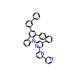 c1ccc(-c2cccc(-c3cc(-c4ccccc4)c4c(c3)c3ccccc3n4-c3cc(-c4ccccc4)cc(-c4cccc(-c5cccnc5)n4)n3)c2)cc1